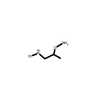 CCNCC(C)ON